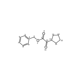 O=C(OCc1ccccc1)C(=O)C1CCCC1